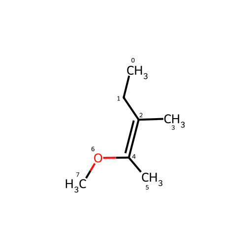 CC/C(C)=C(/C)OC